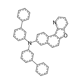 c1ccc(-c2cccc(N(c3cccc(-c4ccccc4)c3)c3ccc4c(ccc5oc6cccnc6c54)c3)c2)cc1